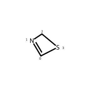 C1=NCS1